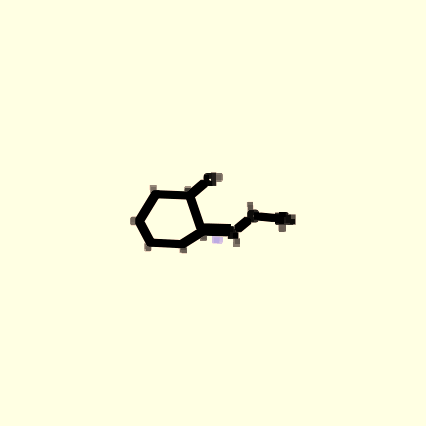 CC(C)(C)O/N=C1/CCCCC1Cl